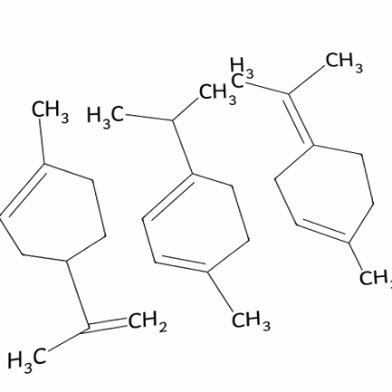 C=C(C)C1CC=C(C)CC1.CC1=CC=C(C(C)C)CC1.CC1=CCC(=C(C)C)CC1